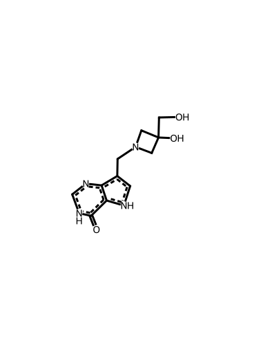 O=c1[nH]cnc2c(CN3CC(O)(CO)C3)c[nH]c12